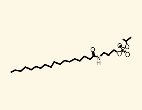 CCCCCCCCCCCCCCCCCC(=O)NCCCOS(=O)(=O)OC(C)C